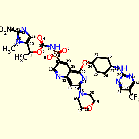 CC(OC(=O)NS(=O)(=O)c1cnc2cc(N3CCOCC3)nc(OC3CCC(Nc4ncc(C(F)(F)F)cn4)CC3)c2c1)c1cnc([N+](=O)[O-])n1C